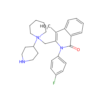 O=C(O)c1c(C[N+]2(C3CCNCC3)CCCCC2)n(-c2ccc(F)cc2)c(=O)c2ccccc12